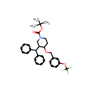 CC(C)(C)OC(=O)N1CCC(OCc2cccc(OC(F)(F)F)c2)C(C(c2ccccc2)c2ccccc2)C1